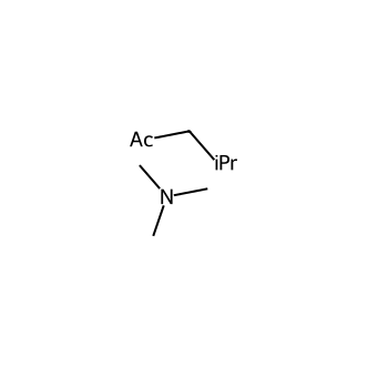 CC(=O)CC(C)C.CN(C)C